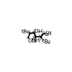 CC(C)(C)C(CO)C(O)C(S)C(CS)C(C)(C)C